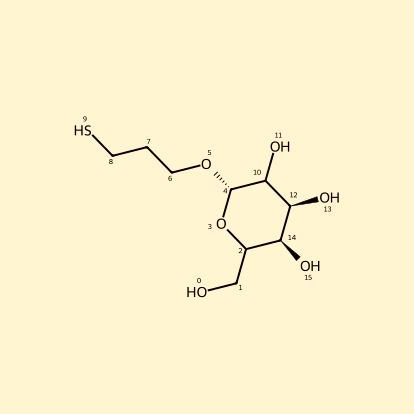 OCC1O[C@H](OCCCS)C(O)[C@@H](O)[C@H]1O